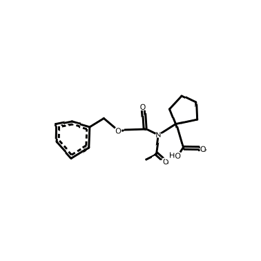 CC(=O)N(C(=O)OCc1ccccc1)C1(C(=O)O)CCCC1